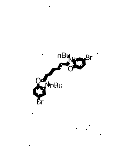 CCCCN1C(=CC=CC=Cc2oc3ccc(Br)cc3[n+]2CCCC)Oc2ccc(Br)cc21